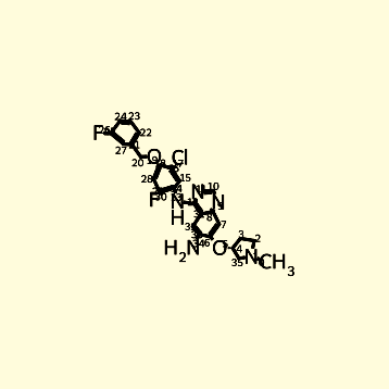 CN1CC[C@@H](Oc2cc3ncnc(Nc4cc(Cl)c(OCc5cccc(F)c5)cc4F)c3cc2N)C1